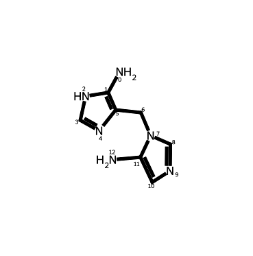 Nc1[nH]cnc1Cn1cncc1N